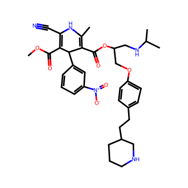 COC(=O)C1=C(C#N)NC(C)=C(C(=O)OC(CNC(C)C)COc2ccc(CCC3CCCNC3)cc2)C1c1cccc([N+](=O)[O-])c1